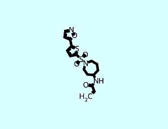 C=CC(=O)NC1CCCN(S(=O)(=O)c2ccc(-c3ccno3)s2)CC1